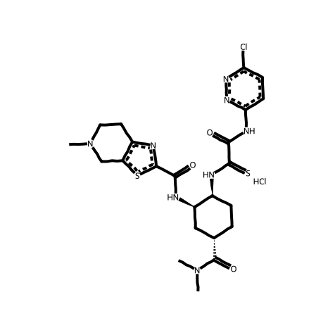 CN1CCc2nc(C(=O)N[C@@H]3C[C@@H](C(=O)N(C)C)CC[C@@H]3NC(=S)C(=O)Nc3ccc(Cl)nn3)sc2C1.Cl